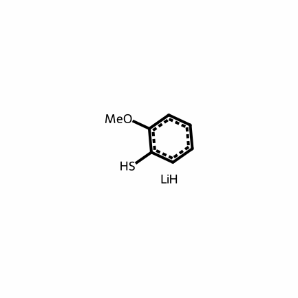 COc1ccccc1S.[LiH]